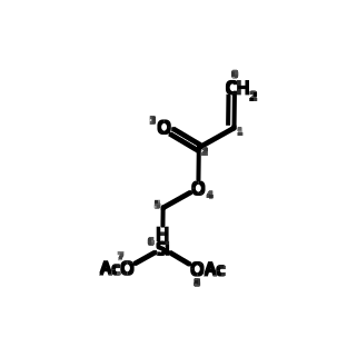 C=CC(=O)OC[SiH](OC(C)=O)OC(C)=O